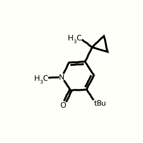 Cn1cc(C2(C)CC2)cc(C(C)(C)C)c1=O